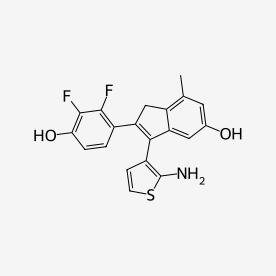 Cc1cc(O)cc2c1CC(c1ccc(O)c(F)c1F)=C2c1ccsc1N